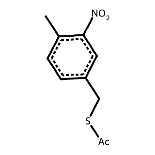 CC(=O)SCc1ccc(C)c([N+](=O)[O-])c1